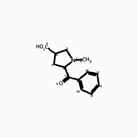 CN1CC(C(=O)O)CC1C(=O)c1ccccc1